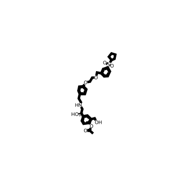 CC(=O)Oc1ccc([C@@H](O)CNCCc2ccc(OCCOCc3cccc(S(=O)(=O)C4CCCC4)c3)cc2)cc1CO